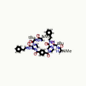 CN[C@@H](C)C(=O)N[C@H](C(=O)N1CCN(C(=O)c2ccc(C(=O)N3CCN(C(=O)[C@@H](NC(=O)[C@H](C)NC)C(C)(C)C)[C@H](C(=O)NCCc4ccccc4)C3)cc2)C[C@H]1C(=O)NCCc1ccccc1)C(C)(C)C